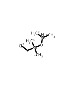 C[SiH](C)O[Si](C)(C)CCl